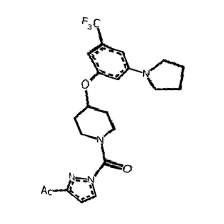 CC(=O)c1ccn(C(=O)N2CCC(Oc3cc(N4CCCC4)cc(C(F)(F)F)c3)CC2)n1